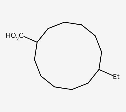 CCC1CCCCCC(C(=O)O)CCCCC1